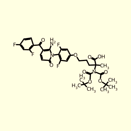 CC(C)(C)OC(=O)N(C(=O)OC(C)(C)C)C(C)(CCCOc1cc(F)c(-n2c(N)c(C(=O)c3ccc(F)cc3F)ccc2=O)c(F)c1)C(=O)O